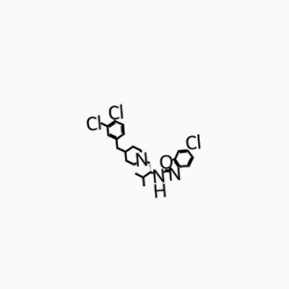 CC(C)[C@H](CN1CCC(Cc2ccc(Cl)c(Cl)c2)CC1)Nc1nc2ccc(Cl)cc2o1